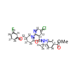 COC(=O)c1ccc(C2(NC(=O)c3cc(Cl)cnc3N3CCCC(COc4cccc(F)c4)C3)CC2)cc1